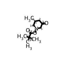 C[C@@H]1CC(=O)CN(OC(=O)C(C)(C)C)C1